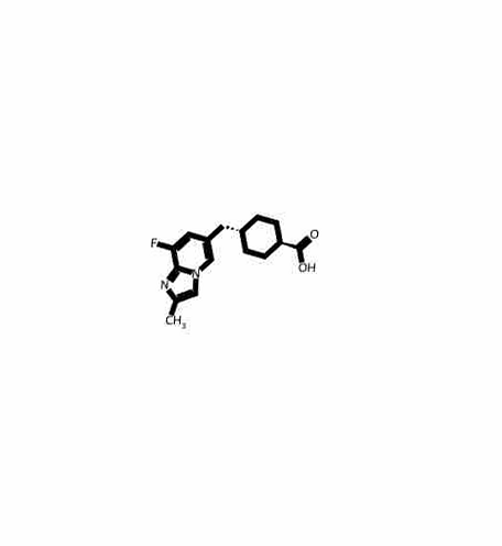 Cc1cn2cc(C[C@H]3CC[C@H](C(=O)O)CC3)cc(F)c2n1